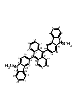 Cn1c2ccccc2c2cc(-c3c4ccccc4c(-c4ccc5c(c4)c4ccccc4n5C)c4cnccc34)ccc21